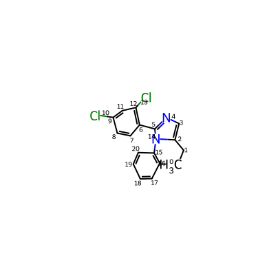 CCc1cnc(-c2ccc(Cl)cc2Cl)n1-c1ccccc1